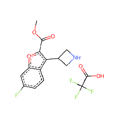 COC(=O)c1oc2cc(F)ccc2c1C1CNC1.O=C(O)C(F)(F)F